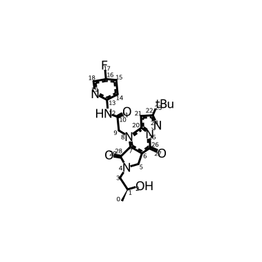 C[C@H](O)CN1Cc2c(n(CC(=O)Nc3ccc(F)cn3)c3cc(C(C)(C)C)nn3c2=O)C1=O